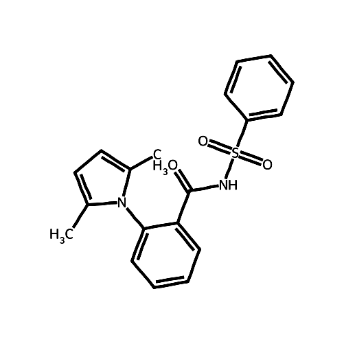 Cc1ccc(C)n1-c1ccccc1C(=O)NS(=O)(=O)c1ccccc1